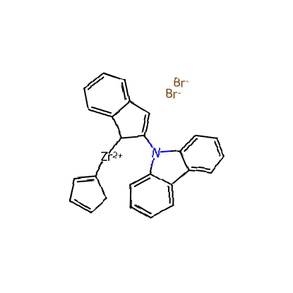 C1=CC[C]([Zr+2][CH]2C(n3c4ccccc4c4ccccc43)=Cc3ccccc32)=C1.[Br-].[Br-]